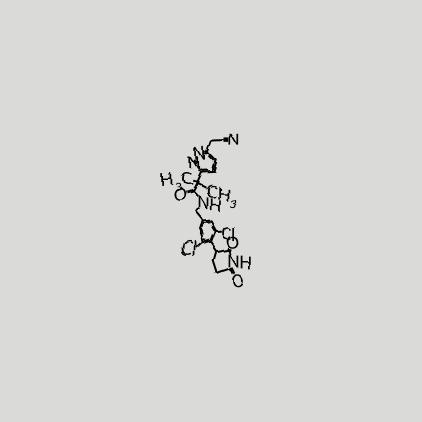 CC(C)(C(=O)NCc1cc(Cl)c(C2CCC(=O)NC2=O)c(Cl)c1)c1ccc(CC#N)nn1